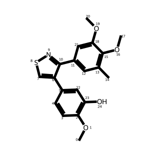 COc1ccc(-c2csnc2-c2cc(C)c(OC)c(OC)c2)cc1O